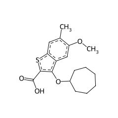 COc1cc2c(OC3CCCCCC3)c(C(=O)O)sc2cc1C